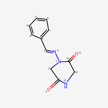 O=C1CN(N=Cc2ccccc2)C(=O)CN1